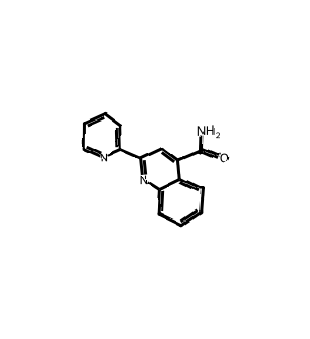 NC(=O)c1cc(-c2ccccn2)nc2ccccc12